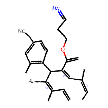 C=C/C(C)=C(/C(C)=O)C(/C(=C/C(C)=C\C)C(=C)OCCC=N)c1ccc(C#N)cc1C